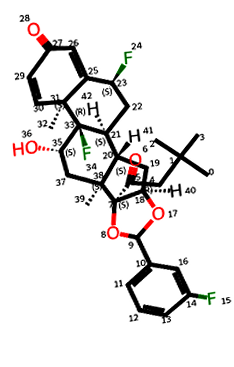 CC(C)(C)CC(=O)[C@@]12OC(c3cccc(F)c3)O[C@@H]1C[C@H]1[C@@H]3C[C@H](F)C4=CC(=O)C=C[C@]4(C)[C@@]3(F)[C@@H](O)C[C@@]12C